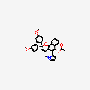 COc1ccc(C2(c3ccc(OC)cc3)C=Cc3c(-c4cccn4C)c(OC(C)=O)c4ccccc4c3O2)cc1